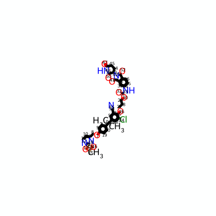 CC(C)(c1ccc(OCc2ccnc(S(C)(=O)=O)n2)cc1)c1cc(Cl)c(OCCCOC(=O)Nc2ccc3c(c2)C(=O)N(C2CCC(=O)NC2=O)C3=O)c(C#N)c1